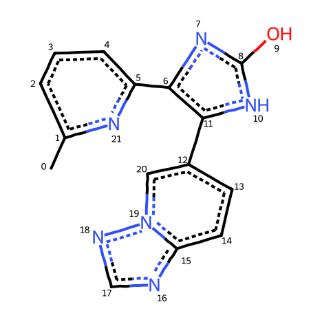 Cc1cccc(-c2nc(O)[nH]c2-c2ccc3ncnn3c2)n1